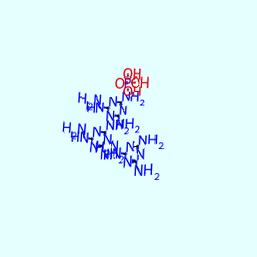 NNc1nc(N)nc(N)n1.NNc1nc(N)nc(N)n1.NNc1nc(N)nc(N)n1.O=P(O)(O)O